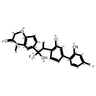 CC(c1ccc(-c2ccc(F)cc2C#N)cc1Cl)C(O)(c1ccc2c(c1)N(C)C(=O)CO2)C(F)(F)F